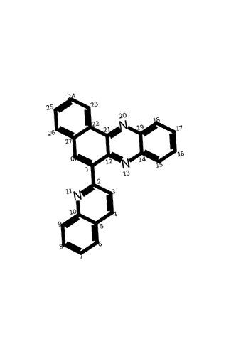 [c]1c(-c2ccc3ccccc3n2)c2nc3ccccc3nc2c2ccccc12